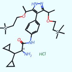 CC(OCC[Si](C)(C)C)c1n[nH]c(C(C)OCC[Si](C)(C)C)c1-c1ccc(NC(=O)[C@@H](N)C(C2CC2)C2CC2)cc1.Cl